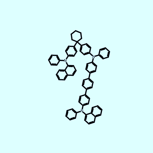 c1ccc(N(c2ccc(-c3ccc(-c4ccc(N(c5ccccc5)c5cccc6ccccc56)cc4)cc3)cc2)c2ccc(C3(c4ccc(N(c5ccccc5)c5cccc6ccccc56)cc4)CCCCC3)cc2)cc1